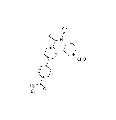 CCNC(=O)c1ccc(-c2ccc(C(=O)N(C3CC3)C3CCN(C=O)CC3)cc2)cc1